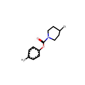 CCC1CCN(C(=O)Oc2ccc(C)cc2)CC1